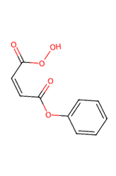 O=C(/C=C\C(=O)Oc1ccccc1)OO